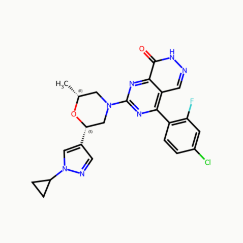 C[C@@H]1CN(c2nc(-c3ccc(Cl)cc3F)c3cn[nH]c(=O)c3n2)C[C@H](c2cnn(C3CC3)c2)O1